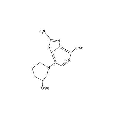 COc1ncc(N2CCCC(OC)C2)c2sc(N)nc12